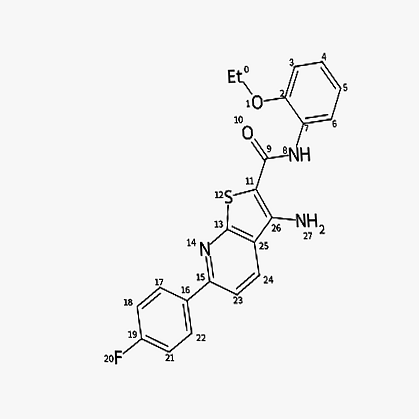 CCOc1ccccc1NC(=O)c1sc2nc(-c3ccc(F)cc3)ccc2c1N